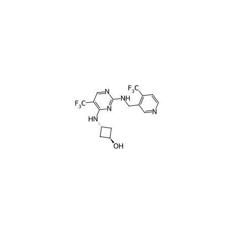 O[C@H]1C[C@H](Nc2nc(NCc3cnccc3C(F)(F)F)ncc2C(F)(F)F)C1